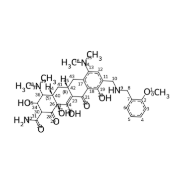 COc1ccccc1CNCc1cc(N(C)C)c2c(c1O)C(=O)C1=C(O)[C@]3(O)C(=O)C(C(N)=O)C(O)C(N(C)C)[C@@H]3C[C@@H]1C2